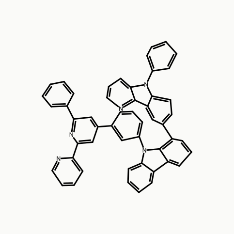 c1ccc(-c2cc(-c3cccc(-n4c5ccccc5c5cccc(-c6ccc7c(c6)c6ncccc6n7-c6ccccc6)c54)c3)cc(-c3ccccn3)n2)cc1